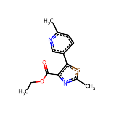 CCOC(=O)c1nc(C)sc1-c1ccc(C)nc1